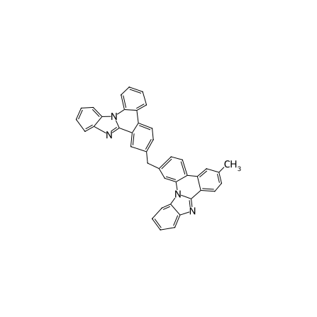 Cc1ccc2c(c1)c1ccc(Cc3ccc4c5ccccc5n5c6ccccc6nc5c4c3)cc1n1c3ccccc3nc21